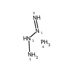 N=NNN.P